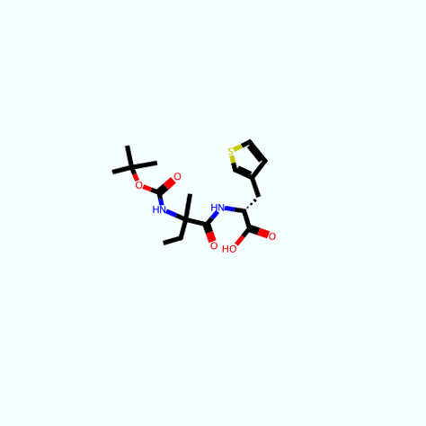 CCC(C)(NC(=O)OC(C)(C)C)C(=O)N[C@H](Cc1ccsc1)C(=O)O